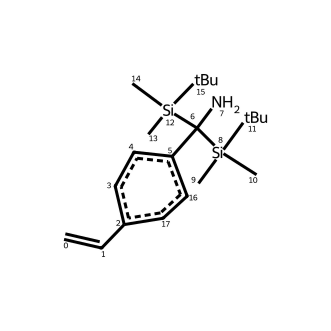 C=Cc1ccc(C(N)([Si](C)(C)C(C)(C)C)[Si](C)(C)C(C)(C)C)cc1